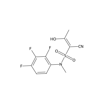 CC(O)=C(C#N)S(=O)(=O)N(C)c1ccc(F)c(F)c1F